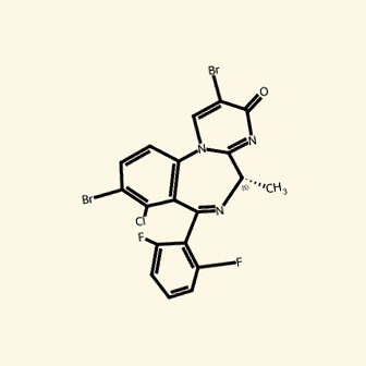 C[C@@H]1N=C(c2c(F)cccc2F)c2c(ccc(Br)c2Cl)-n2cc(Br)c(=O)nc21